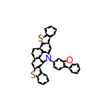 c1ccc2c(c1)oc1cc(-n3c4cc5c6ccccc6sc5c5ccc6cc7sc8ccccc8c7c3c6c54)ccc12